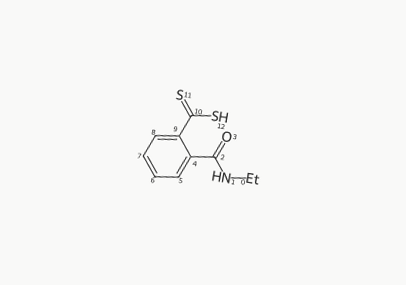 CCNC(=O)c1ccccc1C(=S)S